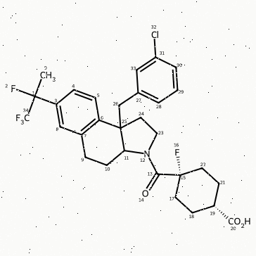 CC(F)(c1ccc2c(c1)CCC1N(C(=O)[C@]3(F)CC[C@@H](C(=O)O)CC3)CCC21Cc1cccc(Cl)c1)C(F)(F)F